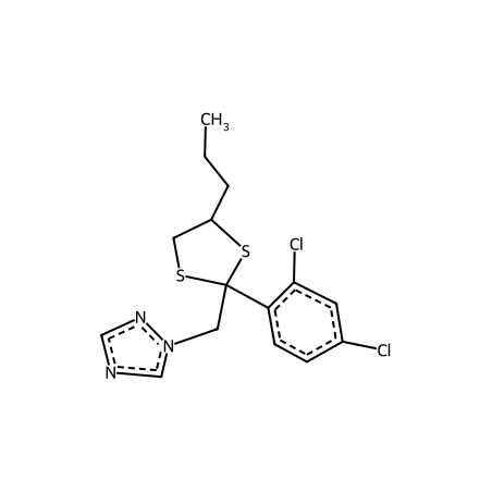 CCCC1CSC(Cn2cncn2)(c2ccc(Cl)cc2Cl)S1